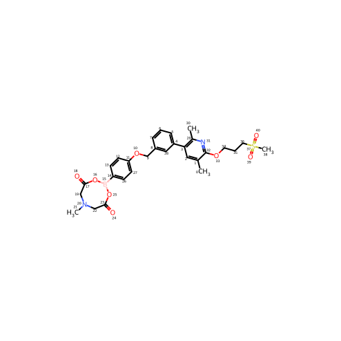 Cc1cc(-c2cccc(COc3ccc(B4OC(=O)CN(C)CC(=O)O4)cc3)c2)c(C)nc1OCCCS(C)(=O)=O